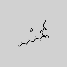 CCCCCCCC(=O)OOCC.[Zn]